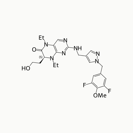 CCN1C(=O)[C@H](CCO)N(CC)c2nc(NCc3cnn(Cc4cc(F)c(OC)c(F)c4)c3)ncc21